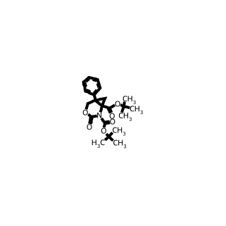 CC(C)(C)OC(=O)N1C(=O)OCC2(c3ccccc3)CC12C(=O)OC(C)(C)C